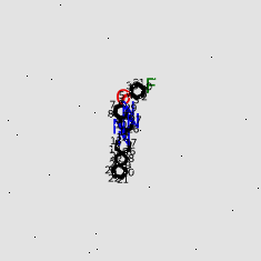 Fc1ccc(Oc2ccc3nc(N4CCC5(CC4)Cc4ccccc4C5)cnc3n2)cc1